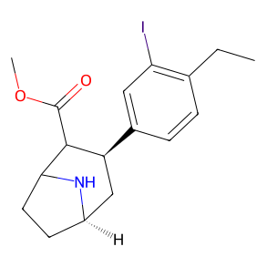 CCc1ccc([C@H]2C[C@H]3CCC(N3)C2C(=O)OC)cc1I